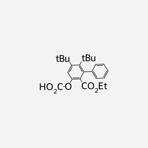 CCOC(=O)c1c(OC(=O)O)cc(C(C)(C)C)c(C(C)(C)C)c1-c1ccccc1